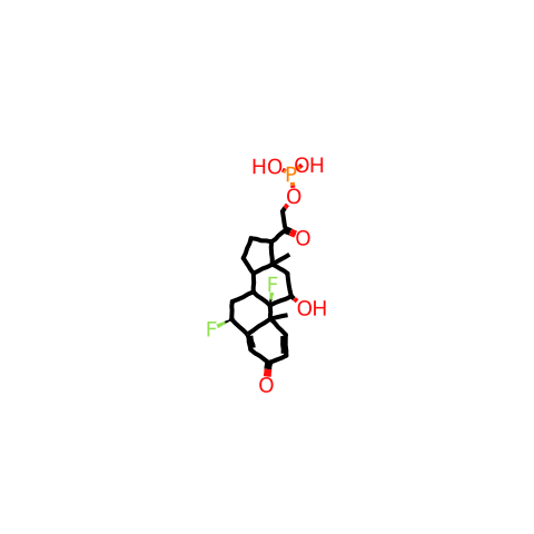 CC12CC(O)[C@@]3(F)C(C[C@H](F)C4=CC(=O)C=CC43C)C1CCC2C(=O)COP(O)O